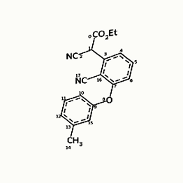 CCOC(=O)C(C#N)c1cccc(Oc2cccc(C)c2)c1C#N